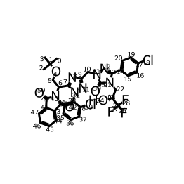 CC(C)(C)OCC(c1nc(Cn2nc(-c3ccc(Cl)cc3)n(C[C@H](O)C(F)(F)F)c2=O)nn1-c1ccccc1Cl)N1C(=O)c2ccccc2C1=O